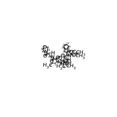 CCCC(NC(=O)[C@@H]1[C@@H]2[C@H](CN1C(=O)[C@@H](NC(=O)OC(C)(C)C)C1Cc3ccccc3C1)C2(C)C)C(=O)C(=O)NCCC(=O)N1CCOCC1